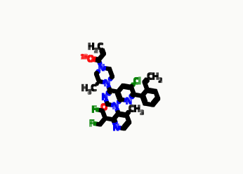 C=CC(=[18O])N1CCN(c2nc(=O)n(-c3c(C)ccnc3C(CF)CF)c3nc(-c4ccccc4C=C)c(Cl)cc23)[C@@H](C)C1